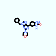 O=c1[nH]c2ccc(-c3nc(N4CCOCC4)nc4c3ncn4Cc3ccccc3)cc2[nH]1